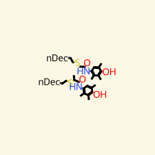 CCCCCCCCCCCCSC(C)C(=O)Nc1cc(C)c(O)c(C)c1C.CCCCCCCCCCCCSCC(=O)Nc1cc(C)c(O)c(C)c1C